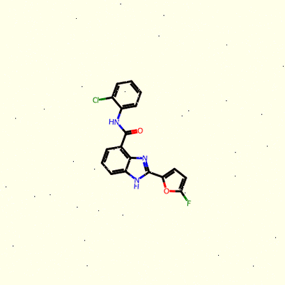 O=C(Nc1ccccc1Cl)c1cccc2[nH]c(-c3ccc(F)o3)nc12